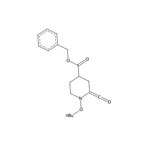 CCCCON1CCC(C(=O)OCc2ccccc2)CC1=C=O